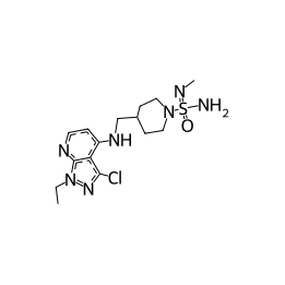 CCn1nc(Cl)c2c(NCC3CCN(S(N)(=O)=NC)CC3)ccnc21